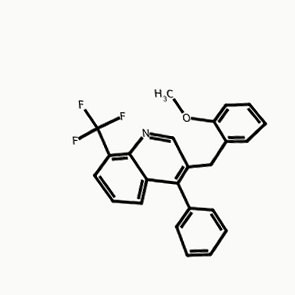 COc1ccccc1Cc1cnc2c(C(F)(F)F)cccc2c1-c1ccccc1